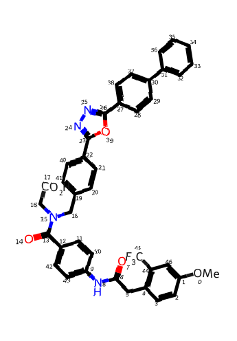 COc1ccc(CC(=O)Nc2ccc(C(=O)N(CC(=O)O)Cc3ccc(-c4nnc(-c5ccc(-c6ccccc6)cc5)o4)cc3)cc2)c(C(F)(F)F)c1